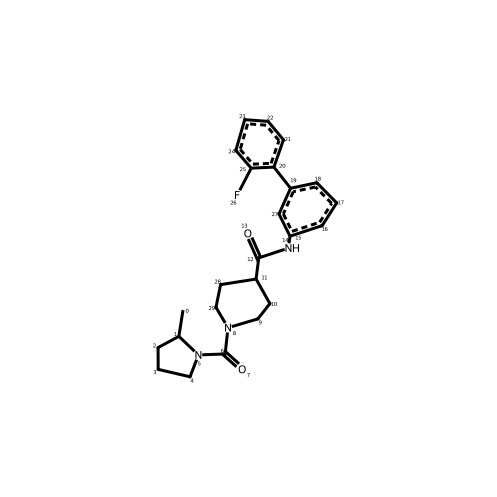 CC1CCCN1C(=O)N1CCC(C(=O)Nc2cccc(-c3ccccc3F)c2)CC1